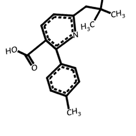 Cc1ccc(-c2nc(CC(C)(C)C)ccc2C(=O)O)cc1